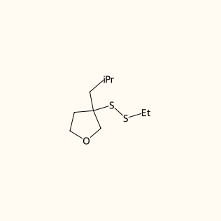 CCSSC1(CC(C)C)CCOC1